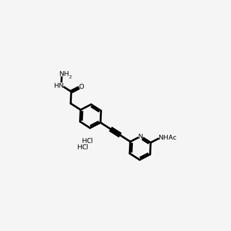 CC(=O)Nc1cccc(C#Cc2ccc(CC(=O)NN)cc2)n1.Cl.Cl